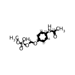 COP(=O)(O)OCOc1ccc(NC(C)=O)cc1